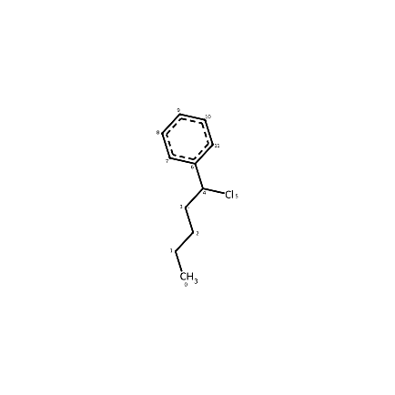 CCC[CH]C(Cl)c1ccccc1